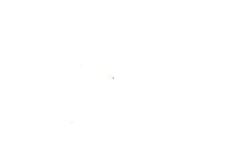 CCCCc1nc2c[n+]([O-])ccc2n1Cc1ccccc1